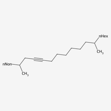 [CH2]CCCCCCCCC(C)CC#CCCCCCCC(C)CCCCC[CH2]